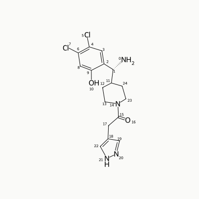 N[C@@H](c1cc(Cl)c(Cl)cc1O)C1CCN(C(=O)Cc2cn[nH]c2)CC1